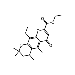 CCOC(=O)c1cc(=O)c2c(C)c3c(c(CC)c2o1)OC(C)(C)CC3C